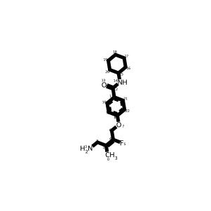 CC(CN)=C(F)COc1ccc(C(=O)NC2CCCCC2)cc1